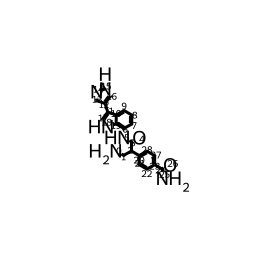 NCC(C(=O)Nc1cccc2c(-c3cn[nH]c3)c[nH]c12)c1ccc(C(N)=O)cc1